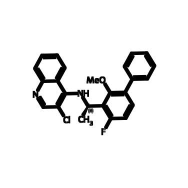 COc1c(-c2ccccc2)ccc(F)c1[C@@H](C)Nc1c(Cl)cnc2ccccc12